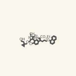 CCOC(=O)c1[nH]c2c(-c3c(COCC4(CCO)CC4)nn(C)c3CC)c(Cl)ccc2c1CCCOc1cccc2ccccc12